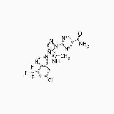 C[C@H](Nc1ncnc2c(C(F)(F)F)cc(Cl)cc12)c1ncnn1-c1ncc(C(N)=O)cn1